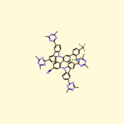 Cc1nc(C)nc(-c2ccc3c(c2)c2cc(-c4nc(C)nc(C)n4)ccc2n3-c2cc(C#N)ccc2-c2ccc(-c3ccc(C(F)(F)F)cc3C(F)(F)F)cc2-n2c3ccc(-c4nc(C)nc(C)n4)cc3c3cc(-c4nc(C)nc(C)n4)ccc32)n1